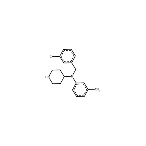 Cc1cccc(N(Cc2cccc(Cl)c2)C2CCNCC2)c1